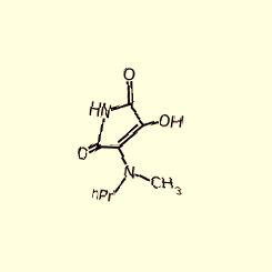 CCCN(C)C1=C(O)C(=O)NC1=O